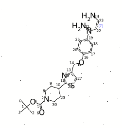 CC(C)(C)OC(=O)N1CCC(c2nc(COc3ccc(N(N)/C=C\N)cc3)cs2)CC1